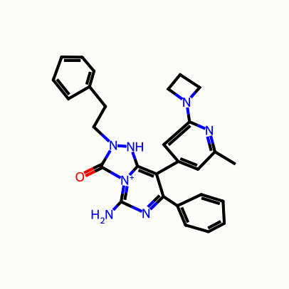 Cc1cc(-c2c(-c3ccccc3)nc(N)[n+]3c(=O)n(CCc4ccccc4)[nH]c23)cc(N2CCC2)n1